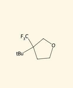 CC(C)(C)C1(C(F)(F)F)CCOC1